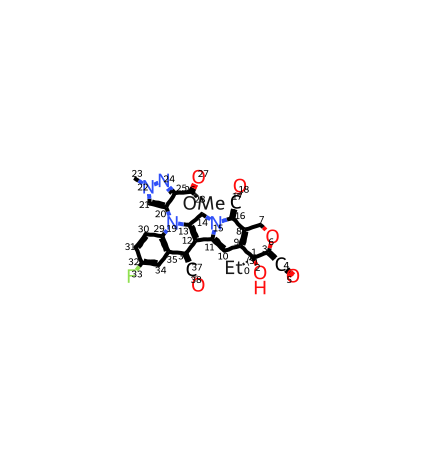 CC[C@@]1(O)C(=C=O)OCC2=C1C=C1C3=C(CN1C2=C=O)N(c1cn(C)nc1C(=O)OC)c1ccc(F)cc1C3=C=O